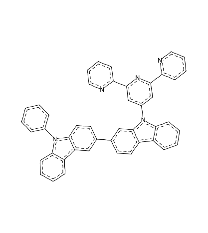 c1ccc(-n2c3ccccc3c3cc(-c4ccc5c6ccccc6n(-c6cc(-c7ccccn7)nc(-c7ccccn7)c6)c5c4)ccc32)cc1